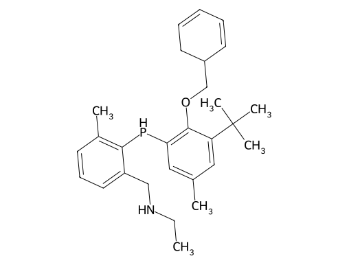 CCNCc1cccc(C)c1Pc1cc(C)cc(C(C)(C)C)c1OCC1C=CC=CC1